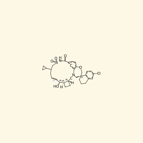 O=C1NS(=O)(=O)CC(C2CC2)C/C=C/[C@H](O)[C@@H]2CC[C@H]2CN2C[C@@]3(CCCc4cc(Cl)ccc43)COc3ccc1cc32